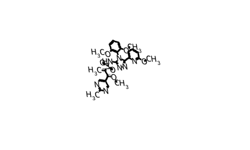 COc1cccc(-c2nnc(NS(=O)(=O)[C@H](C)[C@@H](OC)c3cnc(C)nc3)n2-c2c(OC)cccc2OC)n1